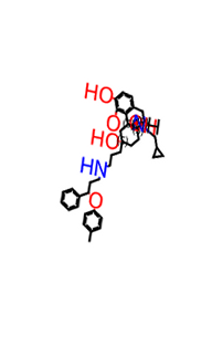 Cc1ccc(OC(CCNCCC[C@]2(O)CC[C@@]3(O)[C@H]4Cc5ccc(O)c6c5[C@@]3(CCN4CC3CC3)C2O6)c2ccccc2)cc1